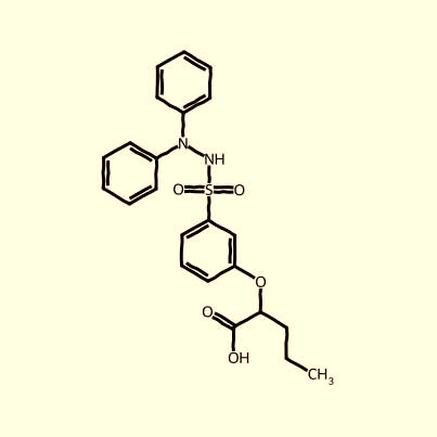 CCCC(Oc1cccc(S(=O)(=O)NN(c2ccccc2)c2ccccc2)c1)C(=O)O